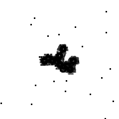 c1ccc(-c2ccc(N(c3ccc4c(ccc5ccccc54)c3)c3ccc4oc5c6ccccc6c(-c6ccccc6)cc5c4c3)cc2)cc1